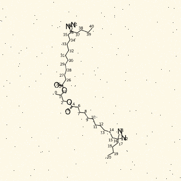 [CH2]C(COC(=O)CCCCCCCCCCC1(CCCC)N=N1)OC(=O)CCCCCCCCCCC1(CCCC)N=N1